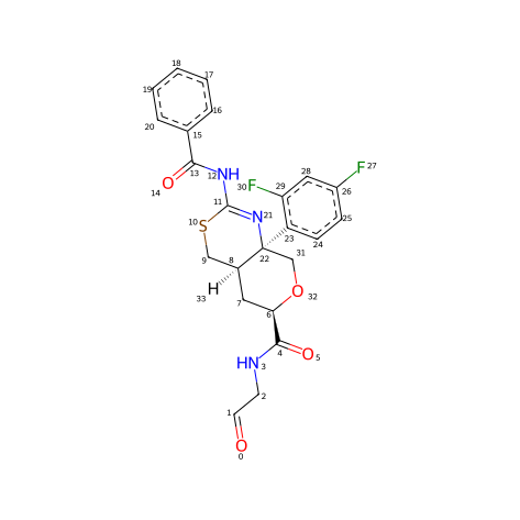 O=CCNC(=O)[C@H]1C[C@H]2CSC(NC(=O)c3ccccc3)=N[C@@]2(c2ccc(F)cc2F)CO1